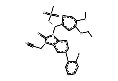 CCOc1cc([C@@H](CS(C)(=O)=O)n2c(=O)n(CC#N)c3cc(-c4ccccc4F)ccc32)ccc1OC